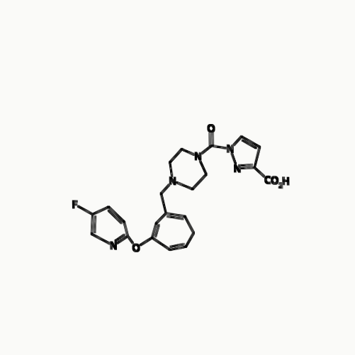 O=C(O)c1ccn(C(=O)N2CCN(CC3=CCC=CC(Oc4ccc(F)cn4)=C3)CC2)n1